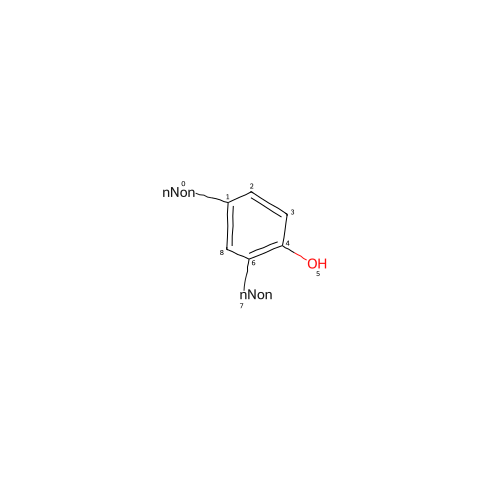 CCCCCCCCCc1ccc(O)c(CCCCCCCCC)c1